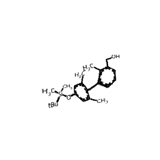 Cc1cc(O[Si](C)(C)C(C)(C)C)cc(C)c1-c1cccc(CO)c1C